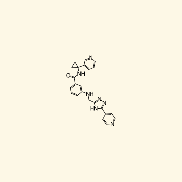 O=C(NC1(c2cccnc2)CC1)c1cccc(NCc2nnc(-c3ccncc3)[nH]2)c1